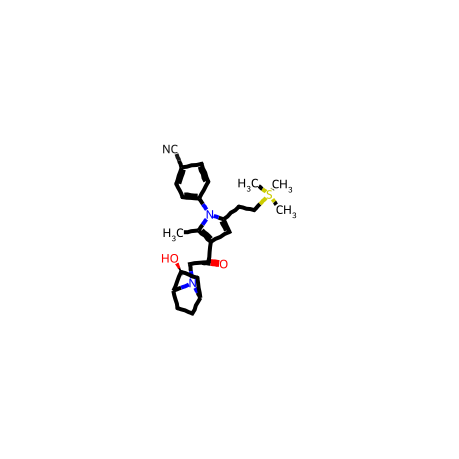 Cc1c(C(=O)CN2C3CCC2[C@@H](O)C3)cc(CCS(C)(C)C)n1-c1ccc(C#N)cc1